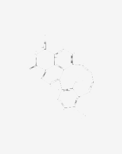 Cc1c2ccccc3ccc4c5c(ccc(c1ccc2C#N)c35)C(=O)NC4=O